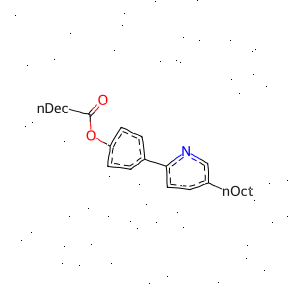 CCCCCCCCCCC(=O)Oc1ccc(-c2ccc(CCCCCCCC)cn2)cc1